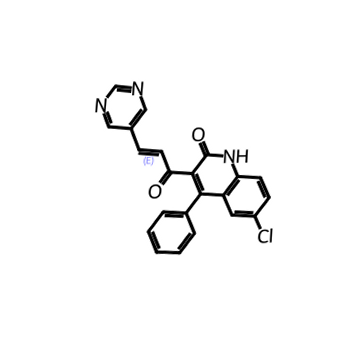 O=C(/C=C/c1cncnc1)c1c(-c2ccccc2)c2cc(Cl)ccc2[nH]c1=O